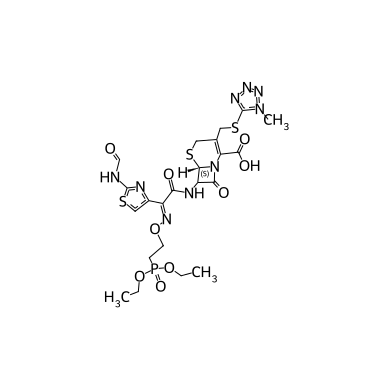 CCOP(=O)(CCON=C(C(=O)NC1C(=O)N2C(C(=O)O)=C(CSc3nnnn3C)CS[C@@H]12)c1csc(NC=O)n1)OCC